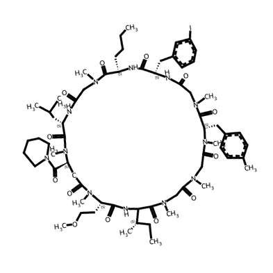 CCCC[C@@H]1NC(=O)[C@H](Cc2cccc(I)c2)NC(=O)CN(C)C(=O)[C@H](Cc2ccc(C)cc2)N(C)C(=O)CN(C)C(=O)CN(C)C(=O)C([C@@H](C)CC)NC(=O)[C@H](CCOC)N(C)C(=O)C[C@@H](C(=O)N2CCCCC2)N(C)C(=O)[C@H](CC(C)C)NC(=O)CN(C)C1=O